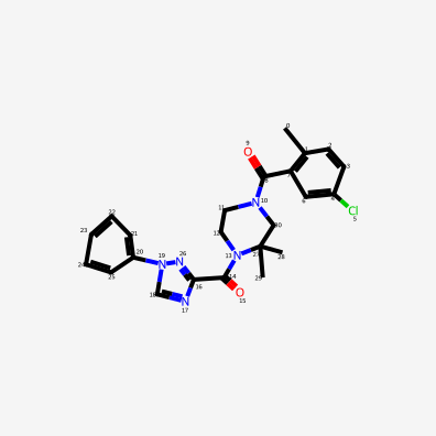 Cc1ccc(Cl)cc1C(=O)N1CCN(C(=O)c2ncn(-c3ccccc3)n2)C(C)(C)C1